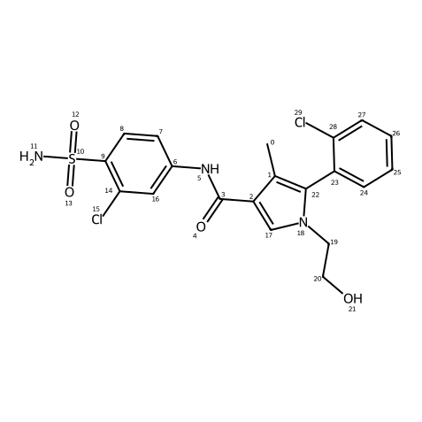 Cc1c(C(=O)Nc2ccc(S(N)(=O)=O)c(Cl)c2)cn(CCO)c1-c1ccccc1Cl